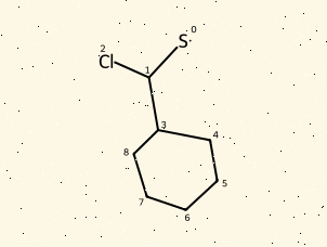 [S]C(Cl)C1CCCCC1